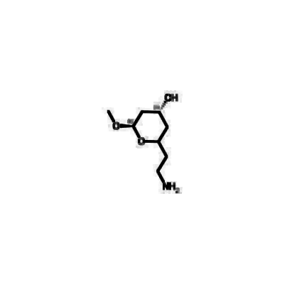 CO[C@H]1C[C@H](O)CC(CCN)O1